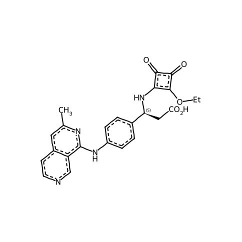 CCOc1c(N[C@@H](CC(=O)O)c2ccc(Nc3nc(C)cc4ccncc34)cc2)c(=O)c1=O